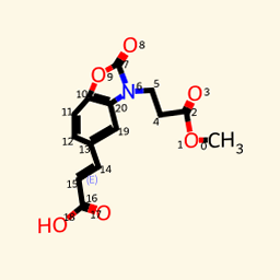 COC(=O)CCn1c(=O)oc2ccc(/C=C/C(=O)O)cc21